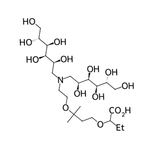 CCC(OCCC(C)(C)OCCN(C[C@H](O)[C@@H](O)[C@H](O)[C@H](O)CO)C[C@H](O)[C@@H](O)[C@H](O)[C@H](O)CO)C(=O)O